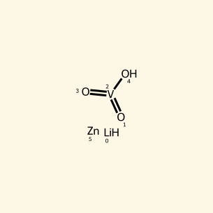 [LiH].[O]=[V](=[O])[OH].[Zn]